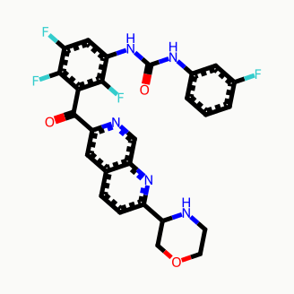 O=C(Nc1cccc(F)c1)Nc1cc(F)c(F)c(C(=O)c2cc3ccc(C4COCCN4)nc3cn2)c1F